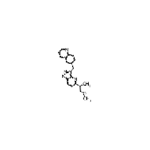 CO/C=C(\C)c1ccc2nnn(Cc3ccc4ncccc4c3)c2n1